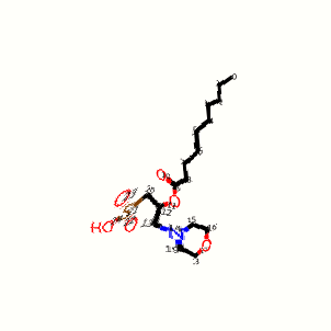 CCCCCCCCCC(=O)OC(CN1CCOCC1)CS(=O)(=O)O